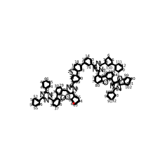 c1ccc(-c2cccc(-c3nc(-c4cccc(-c5ccc6sc7cc(-c8nc(-c9cccc%10c9oc9cccc(-c%11nc(-c%12ccccc%12)nc(-c%12ccccc%12)n%11)c9%10)c9oc%10ccccc%10c9n8)ccc7c6c5)c4)nc(-c4cccc5oc6c(-c7nc(-c8ccccc8)nc8c7oc7ccccc78)cccc6c45)n3)c2)cc1